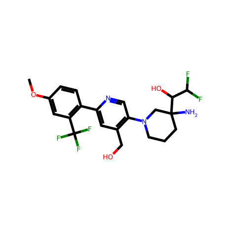 COc1ccc(-c2cc(CO)c(N3CCCC(N)(C(O)C(F)F)C3)cn2)c(C(F)(F)F)c1